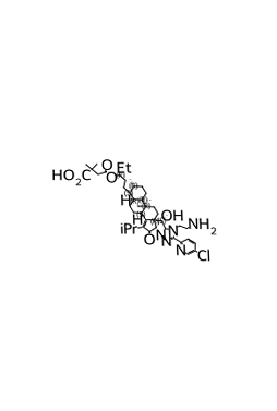 CC[C@H](CC[C@@]1(C)[C@H](C)CC[C@]2(C)[C@@H]1CC[C@@H]1C3=C(C(C)C)C(=O)C[C@]3([C@H](O)c3nnc(-c4ccc(Cl)cn4)n3CCN)CC[C@]12C)OC(=O)CC(C)(C)C(=O)O